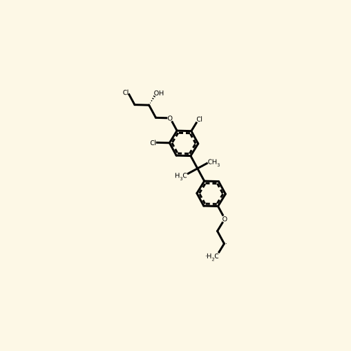 [CH2][CH]COc1ccc(C(C)(C)c2cc(Cl)c(OC[C@@H](O)CCl)c(Cl)c2)cc1